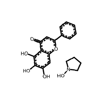 O=c1cc(-c2ccccc2)oc2cc(O)c(O)c(O)c12.ON1CCCC1